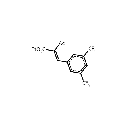 CCOC(=O)C(=Cc1cc(C(F)(F)F)cc(C(F)(F)F)c1)C(C)=O